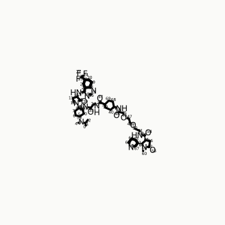 CC(C)N(C)[C@@H]1CC[C@H](N2CC[C@H](Nc3ncnc4ccc(C(F)(F)F)cc34)C2=O)[C@H](NC(=O)CNC(=O)C2CCC(NC(=O)COCCOCCNC(=O)[C@H]3CC(=O)N(C)[C@@H]3c3cccnc3)CC2)C1